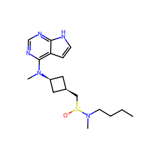 CCCCN(C)[S+]([O-])C[C@H]1C[C@@H](N(C)c2ncnc3[nH]ccc23)C1